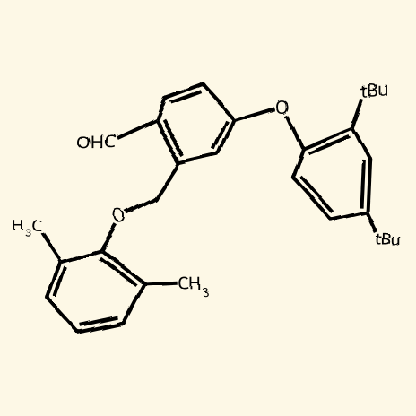 Cc1cccc(C)c1OCc1cc(Oc2ccc(C(C)(C)C)cc2C(C)(C)C)ccc1C=O